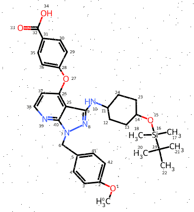 COc1ccc(Cn2nc(NC3CCC(O[Si](C)(C)C(C)(C)C)CC3)c3c(Oc4ccc(C(=O)O)cc4)ccnc32)cc1